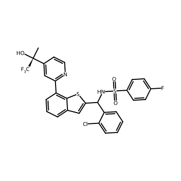 C[C@@](O)(c1ccnc(-c2cccc3cc(C(NS(=O)(=O)c4ccc(F)cc4)c4ccccc4Cl)sc23)c1)C(F)(F)F